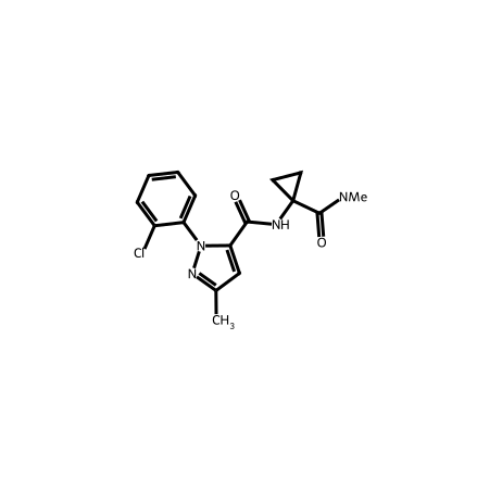 CNC(=O)C1(NC(=O)c2cc(C)nn2-c2ccccc2Cl)CC1